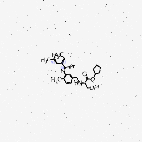 C/C=C(\C=C(\C)C(C)=O)C(=N/c1cc(CNC(CO)C(=O)OC2CCCC2)ccc1C)/C(C)C